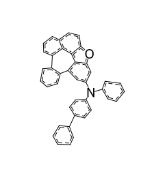 c1ccc(-c2ccc(N(c3ccccc3)c3cc4c5c(c3)oc3ccc6cccc(c6c35)-c3ccccc3-4)cc2)cc1